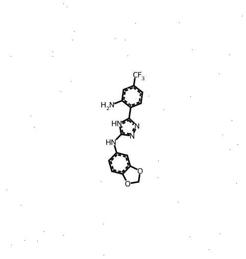 Nc1cc(C(F)(F)F)ccc1-c1nnc(Nc2ccc3c(c2)OCO3)[nH]1